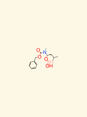 CC(C)C[C@@H](OBO)N(C)C(=O)OCc1ccccc1